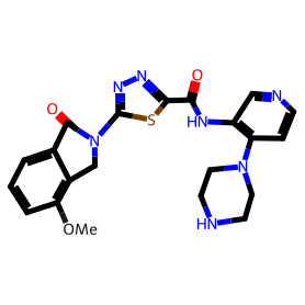 COc1cccc2c1CN(c1nnc(C(=O)Nc3cnccc3N3CCNCC3)s1)C2=O